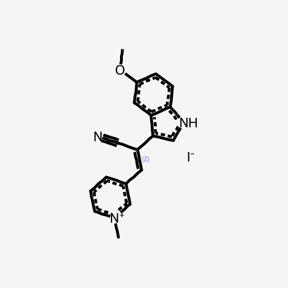 COc1ccc2[nH]cc(/C(C#N)=C/c3ccc[n+](C)c3)c2c1.[I-]